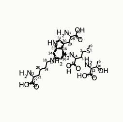 CSCC[C@H](N)C(=O)O.C[C@@H](O)[C@H](N)C(=O)O.NCCCC[C@H](N)C(=O)O.N[C@@H](Cc1c[nH]c2ccccc12)C(=O)O